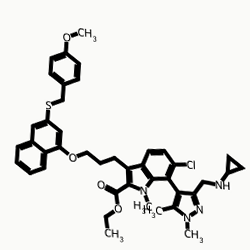 CCOC(=O)c1c(CCCOc2cc(SCc3ccc(OC)cc3)cc3ccccc23)c2ccc(Cl)c(-c3c(CNC4CC4)nn(C)c3C)c2n1C